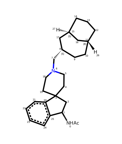 CC(=O)NC1CC2(CCN(C[C@H]3CC[C@H]4CCC[C@@H](C4)C3)CC2)c2ccccc21